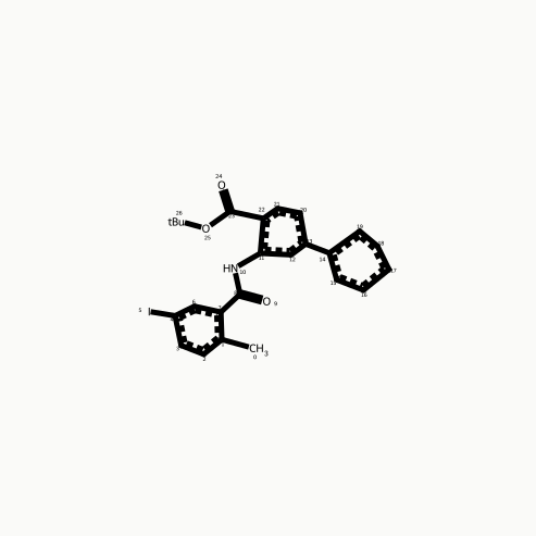 Cc1ccc(I)cc1C(=O)Nc1cc(-c2ccccc2)ccc1C(=O)OC(C)(C)C